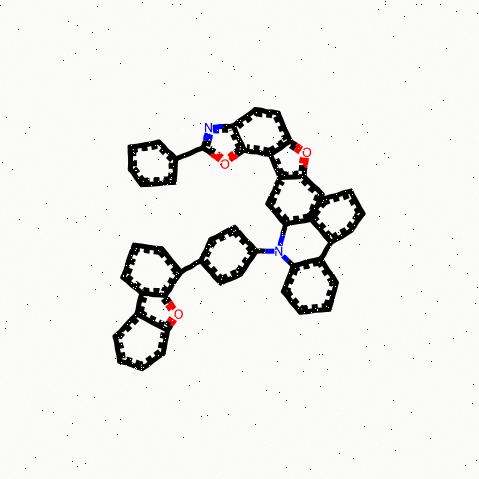 c1ccc(-c2nc3ccc4oc5ccc(N(c6ccc(-c7cccc8c7oc7ccccc78)cc6)c6ccccc6-c6ccccc6)cc5c4c3o2)cc1